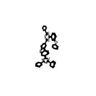 c1ccc(Oc2cccc(-c3nc(-c4ccccc4)nc(-c4ccc5sc6cc(-c7nc(-c8ccccc8)nc(-c8ccccc8)n7)ccc6c5c4)n3)c2)cc1